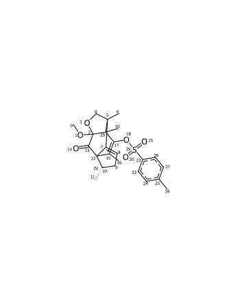 COC12OCC3(C)C4=CC[C@H](C)C4(C1=O)C(C)=C(OS(=O)(=O)c1ccc(C)cc1)C32C